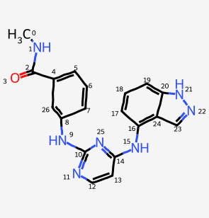 CNC(=O)c1cccc(Nc2nccc(Nc3cccc4[nH]ncc34)n2)c1